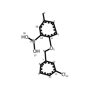 Cc1ccc(OCc2cccc(Cl)c2)c(B(O)O)c1